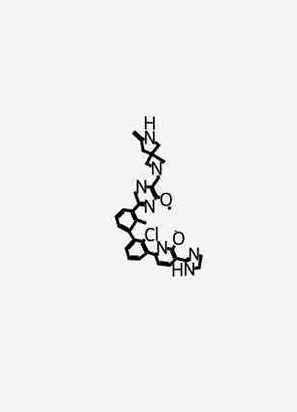 C=C1CC2(CN1)CN(Cc1ncc(-c3cccc(-c4cccc(-c5ccc(C6=NCCN6)c(OC)n5)c4Cl)c3C)nc1OC)C2